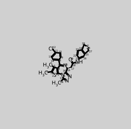 Cc1sc2c(c1C)C(c1ccc(Cl)cc1)=N[C@@H](CC(=O)Nc1ccc3c(c1)CSC3)c1nnc(C)n1-2